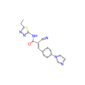 CCc1nnc(NC(=O)/C(C#N)=C/c2ccc(-n3ccnc3)cc2)s1